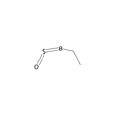 CCB=S=O